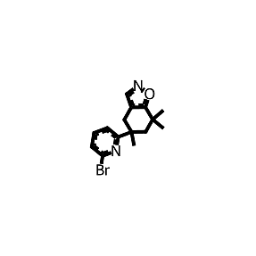 CC1(C)CC(C)(c2cccc(Br)n2)Cc2cnoc21